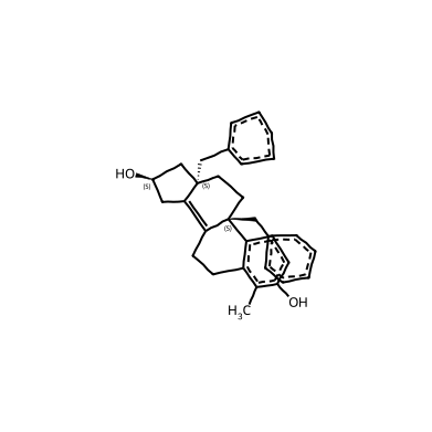 Cc1c(O)ccc2c1CCC1=C3C[C@@H](O)C[C@@]3(Cc3ccccc3)CC[C@@]12Cc1ccccc1